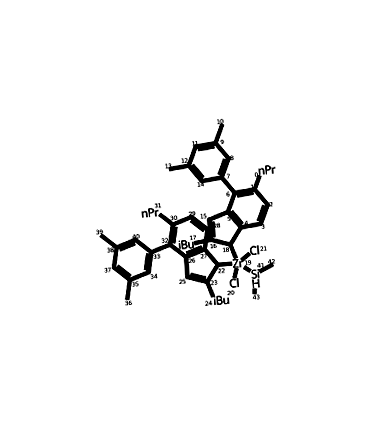 CCCc1ccc2c(c1-c1cc(C)cc(C)c1)C=C(C(C)CC)[CH]2[Zr]([Cl])([Cl])([CH]1C(C(C)CC)=Cc2c1ccc(CCC)c2-c1cc(C)cc(C)c1)[SiH](C)C